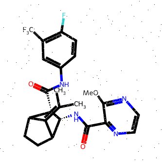 COc1nccnc1C(=O)N[C@@H]1C2CCC(C2=C(C)C)[C@@H]1C(=O)Nc1ccc(F)c(C(F)(F)F)c1